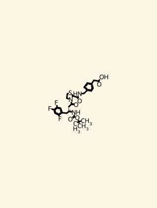 CC(C)(C)OC(=O)N[C@@H](CC(=O)N1CCSC1C(=O)NCc1ccc(CC(=O)O)cc1)Cc1cc(F)c(F)cc1F